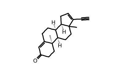 C#CC1=CC[C@@H]2[C@@H]3CCC4=CC(=O)CC[C@]4(C)[C@@H]3CCC12C